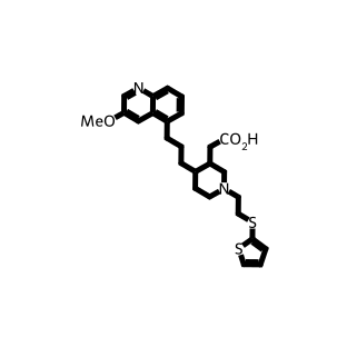 COc1cnc2cccc(CCCC3CCN(CCSc4cccs4)CC3CC(=O)O)c2c1